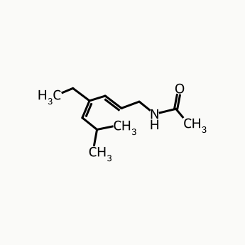 CCC(C=CCNC(C)=O)=CC(C)C